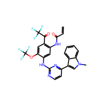 C=CC(=O)Nc1cc(Nc2nccc(-c3cn(C)c4ccccc34)n2)c(OC(F)(F)F)cc1C(=O)C(F)(F)F